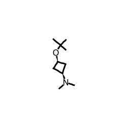 CN(C)[C@H]1C[C@@H](OC(C)(C)C)C1